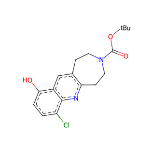 CC(C)(C)OC(=O)N1CCc2cc3c(O)ccc(Cl)c3nc2CC1